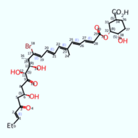 CC/C=C/C(=O)C[C@H](O)CC(=O)[C@@H](O)[C@H](O)[C@H](C)/C(Br)=C/C=C/C=C(C)/C=C/C=C/C(=O)O[C@@H]1C[C@@H](C(=O)O)CC[C@@H]1O